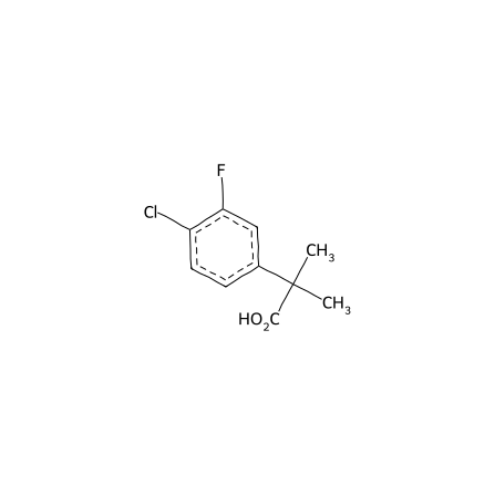 CC(C)(C(=O)O)c1ccc(Cl)c(F)c1